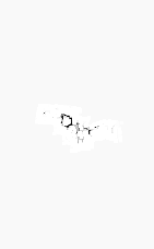 Cc1ccc(S(=O)(=O)NCC(O)CO)cc1